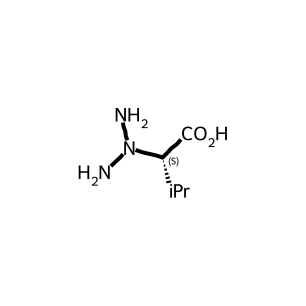 CC(C)[C@@H](C(=O)O)N(N)N